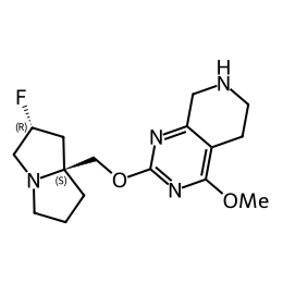 COc1nc(OC[C@@]23CCCN2C[C@H](F)C3)nc2c1CCNC2